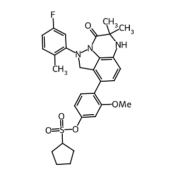 COc1cc(OS(=O)(=O)C2CCCC2)ccc1-c1ccc2c3c1CN(c1cc(F)ccc1C)N3C(=O)C(C)(C)N2